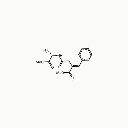 COC(=O)/C(=C/c1ccccc1)CC(=O)N[C@@H](C)C(=O)OC